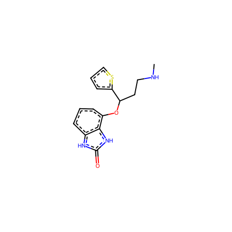 CNCCC(Oc1cccc2[nH]c(=O)[nH]c12)c1cccs1